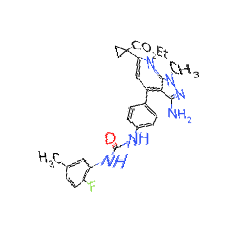 CCOC(=O)C1(c2cc(-c3ccc(NC(=O)Nc4cc(C)ccc4F)cc3)c3c(N)nn(C)c3n2)CC1